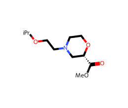 COC(=O)[C@@H]1CN(CCOC(C)C)CCO1